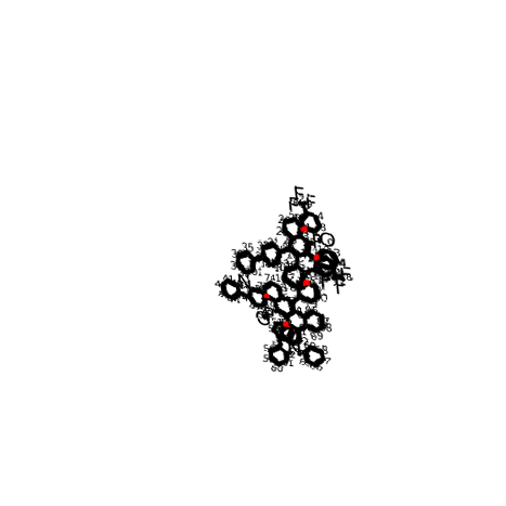 O=P(c1ccc(C(F)(F)F)cc1)(c1ccc(C(F)(F)F)cc1)c1c2ccccc2c(-c2ccc(-c3cccc(-n4c5ccccc5c5cc(P(=O)(c6ccc7c(c6)c6ccccc6n7-c6ccccc6)c6c7ccccc7c(-c7ccccc7)c7c8ccccc8c8ccccc8c67)ccc54)c3)cc2)c2c3ccccc3c3ccccc3c12